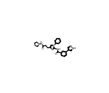 O=C(CCc1cn(-c2ccccc2)c(NC(=O)c2cccc(-c3cn[nH]c3)c2)n1)NN1CCCC1